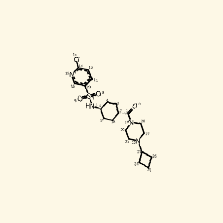 O=C([C@H]1CC[C@H](NS(=O)(=O)c2ccc(Cl)nc2)CC1)N1CCN(C2CCC2)CC1